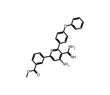 COC(=O)c1cccc(-c2cc(N)c(C(=N)N)c(-c3ccc(Oc4ccccc4)cc3)n2)c1